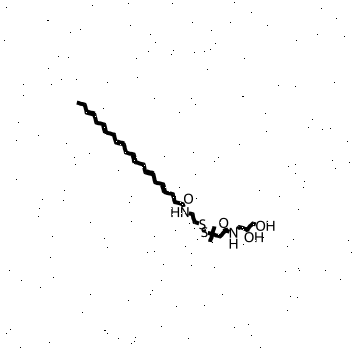 CCC=CCC=CCC=CCC=CCC=CCC=CCCC(=O)NCCSSC(C)(C)CC(=O)NCC(O)CO